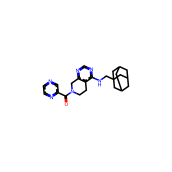 O=C(c1cnccn1)N1CCc2c(ncnc2NCC23CC4CC(CC(C4)C2)C3)C1